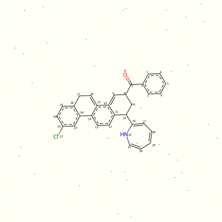 O=C(c1ccccc1)C1C=c2c(ccc3c2=CCc2ccc(Cl)cc2-3)C(C2=CC=CC=CN2)C1